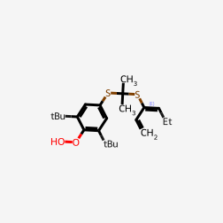 C=C/C(=C\CC)SC(C)(C)Sc1cc(C(C)(C)C)c(OO)c(C(C)(C)C)c1